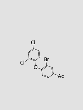 CC(=O)c1ccc(Oc2ccc(Cl)cc2Cl)c(Br)c1